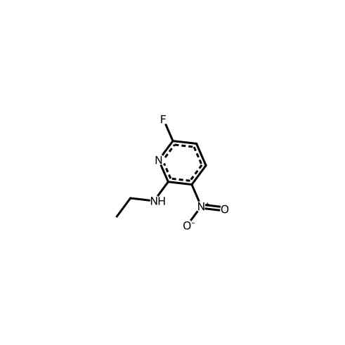 CCNc1nc(F)ccc1[N+](=O)[O-]